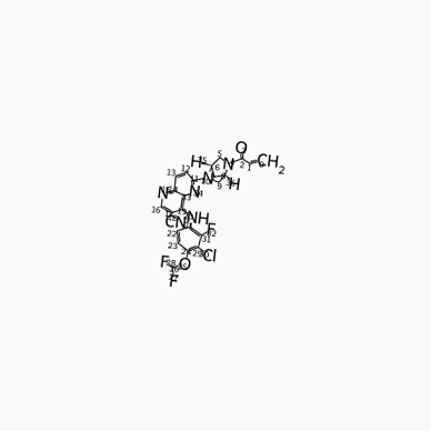 C=CC(=O)N1C[C@@H]2C[C@H]1CN2c1ccc2ncc(C#N)c(Nc3ccc(OC(F)F)c(Cl)c3F)c2n1